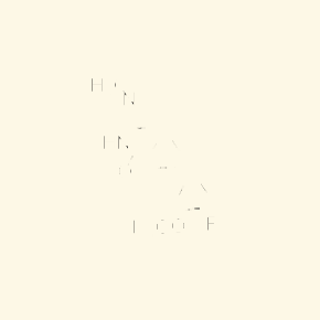 COc1cc(-c2ccc3c4c([nH]c(=O)c3c2)CN(C)CC4)ccc1F